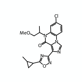 COCC(C)n1c(=O)c2c(-c3noc(C4CC4C)n3)ncn2c2ccc(Cl)cc21